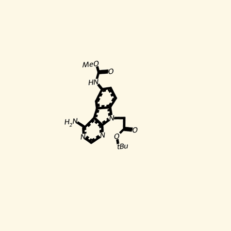 COC(=O)Nc1ccc2c(c1)c1c(N)ncnc1n2CC(=O)OC(C)(C)C